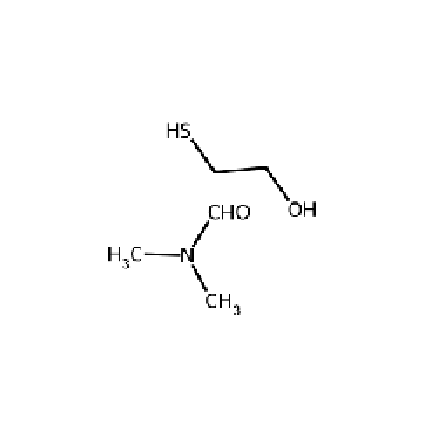 CN(C)C=O.OCCS